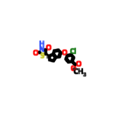 COC(=O)c1ccc(Oc2ccc3c(c2)CC[C@H]3C2SC(=O)NC2=O)c(Cl)c1